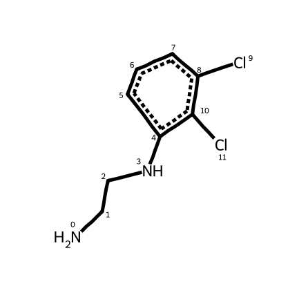 NCCNc1cccc(Cl)c1Cl